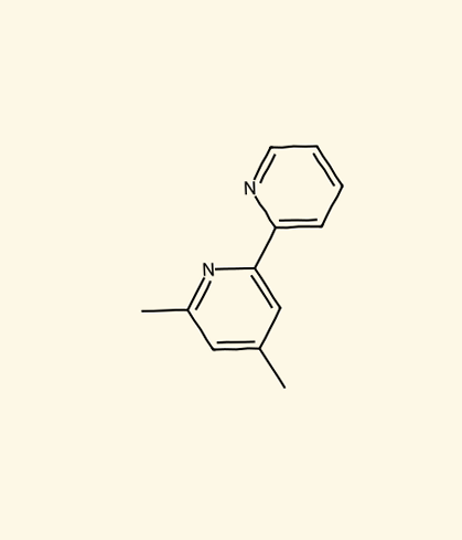 Cc1cc(C)nc(-c2ccccn2)c1